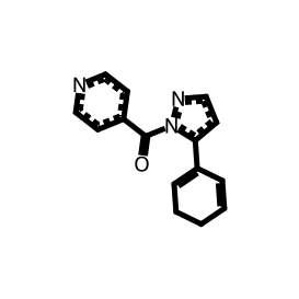 O=C(c1ccncc1)n1nccc1C1=CCCC=C1